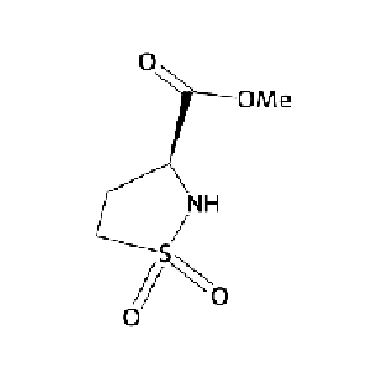 COC(=O)[C@@H]1CCS(=O)(=O)N1